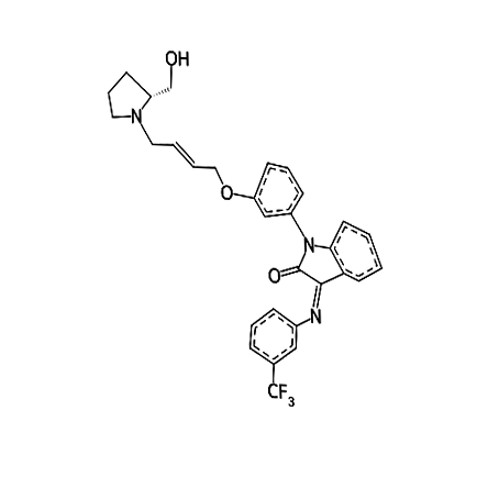 O=C1C(=Nc2cccc(C(F)(F)F)c2)c2ccccc2N1c1cccc(OC/C=C/CN2CCC[C@@H]2CO)c1